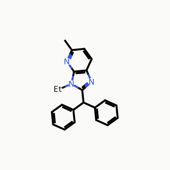 CCn1c(C(c2ccccc2)c2ccccc2)nc2ccc(C)nc21